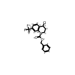 O=C(OCc1ccccc1)N1CCC(Cl)c2ccc(C(F)(F)F)cc21